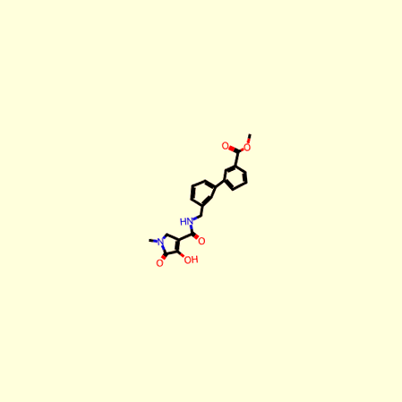 COC(=O)c1cccc(-c2cccc(CNC(=O)C3=C(O)C(=O)N(C)C3)c2)c1